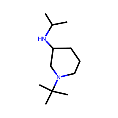 CC(C)NC1CCCN(C(C)(C)C)C1